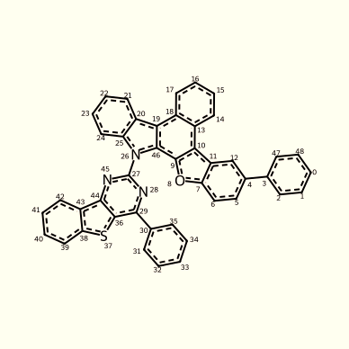 c1ccc(-c2ccc3oc4c(c3c2)c2ccccc2c2c3ccccc3n(-c3nc(-c5ccccc5)c5sc6ccccc6c5n3)c42)cc1